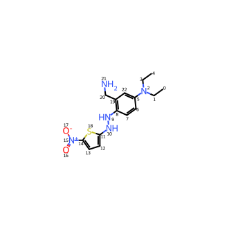 CCN(CC)c1ccc(NNc2ccc([N+](=O)[O-])s2)c(CN)c1